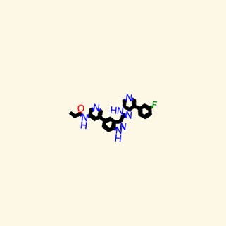 CCC(=O)Nc1cncc(-c2ccc3[nH]nc(C4=NC5C(c6cccc(F)c6)=CN=CC5N4)c3c2)c1